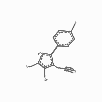 N#Cc1c(-c2ccc(F)cc2)[nH]c(Br)c1Br